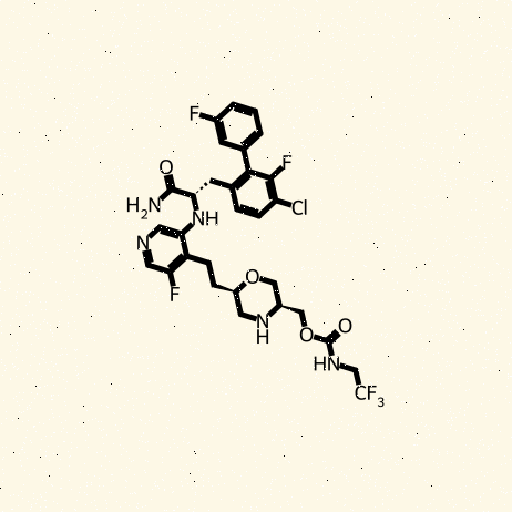 NC(=O)[C@H](Cc1ccc(Cl)c(F)c1-c1cccc(F)c1)Nc1cncc(F)c1CC[C@@H]1CN[C@H](COC(=O)NCC(F)(F)F)CO1